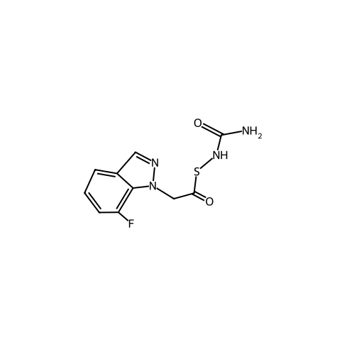 NC(=O)NSC(=O)Cn1ncc2cccc(F)c21